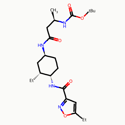 CCc1cc(C(=O)N[C@H]2CC[C@H](NC(=O)C[C@@H](C)NC(=O)OC(C)(C)C)C[C@H]2CC)no1